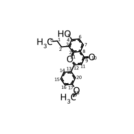 CCCc1c(O)ccc2c(=O)cc(-c3cccc(OC)c3)oc12